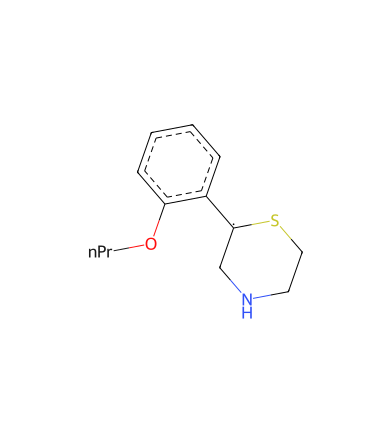 CCCOc1ccccc1[C]1CNCCS1